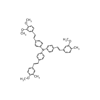 COc1ccc(C=Cc2ccc(N(c3ccc(C=Cc4ccc(C)c(OC)c4)cc3)c3ccc(C=Cc4ccc(OC)c(OC)c4)cc3)cc2)cc1C